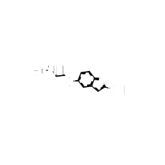 CCNCCOc1ccc2sc(C)cc2c1